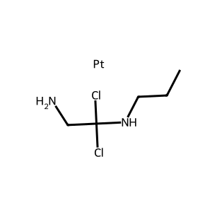 CCCNC(Cl)(Cl)CN.[Pt]